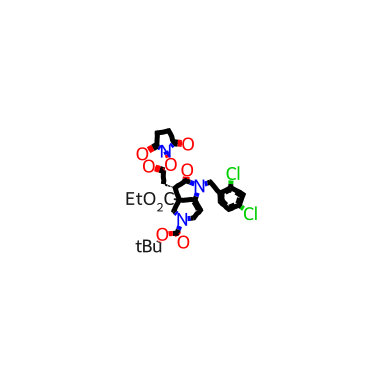 CCOC(=O)[C@@]12CN(C(=O)OC(C)(C)C)CC=C1N(Cc1ccc(Cl)cc1Cl)C(=O)[C@H]2CC(=O)ON1C(=O)CCC1=O